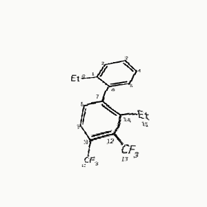 CCc1ccccc1-c1ccc(C(F)(F)F)c(C(F)(F)F)c1CC